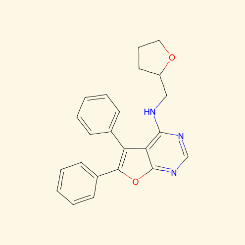 c1ccc(-c2oc3ncnc(NCC4CCCO4)c3c2-c2ccccc2)cc1